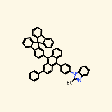 CCc1nc2ccccc2n1-c1ccc(-c2c3ccccc3c(-c3ccc4c(c3)C3(c5ccccc5-c5ccccc53)c3ccccc3-4)c3cc(-c4ccccc4)ccc23)cc1